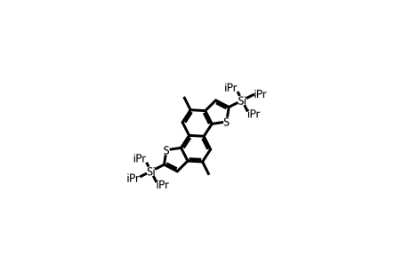 Cc1cc2c(cc(C)c3cc([Si](C(C)C)(C(C)C)C(C)C)sc32)c2sc([Si](C(C)C)(C(C)C)C(C)C)cc12